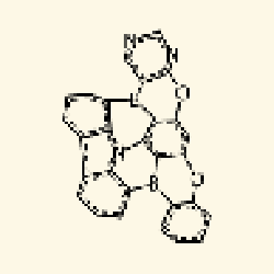 c1ccc2c(c1)Oc1cc3c4c5c1B2c1cccc2c6cccc(c6n-5c12)B4c1cncnc1O3